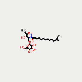 CC[C@@H](O)[C@@H](O)[C@H](COC1OC(CO)C(O)C(O)C1O)NC(=O)CCCCCCCCCCC1CC1C